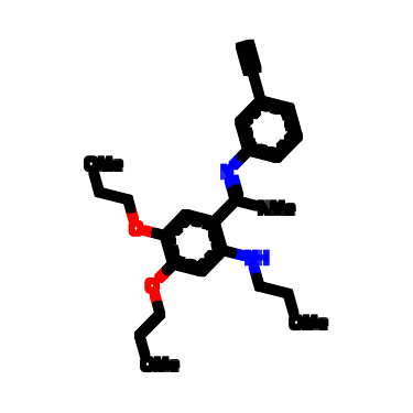 C#Cc1cccc(/N=C(\NC)c2cc(OCCOC)c(OCCOC)cc2NCCOC)c1